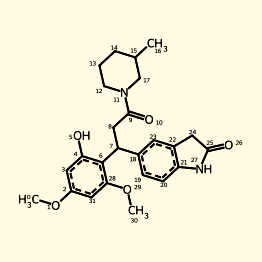 COc1cc(O)c(C(CC(=O)N2CCCC(C)C2)c2ccc3c(c2)CC(=O)N3)c(OC)c1